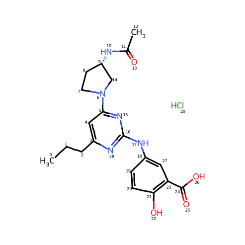 CCCc1cc(N2CC[C@H](NC(C)=O)C2)nc(Nc2ccc(O)c(C(=O)O)c2)n1.Cl